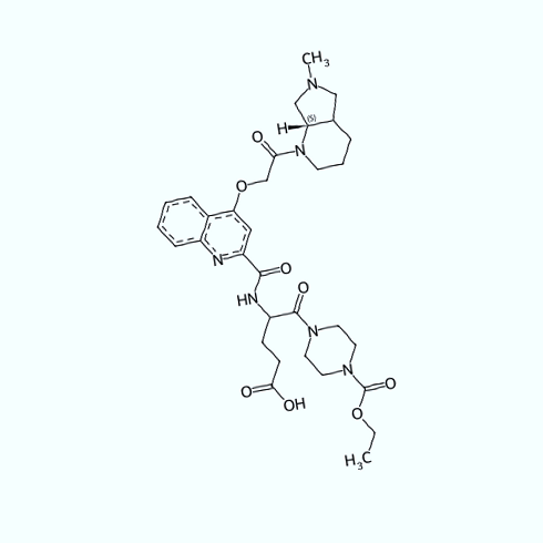 CCOC(=O)N1CCN(C(=O)C(CCC(=O)O)NC(=O)c2cc(OCC(=O)N3CCCC4CN(C)C[C@H]43)c3ccccc3n2)CC1